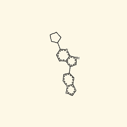 c1cc2cc(-c3c[nH]c4nc(C5CCCC5)ccc34)ccn2n1